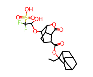 CCC1(OC(=O)C2C3CC4C(OC(=O)C42)C3OC(O)C(F)(F)S(=O)(=O)O)C2CC3CC(C2)CC1C3